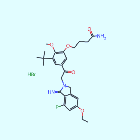 Br.CCOc1cc(F)c2c(c1)CN(CC(=O)c1cc(OCCCC(N)=O)c(OC)c(C(C)(C)C)c1)C2=N